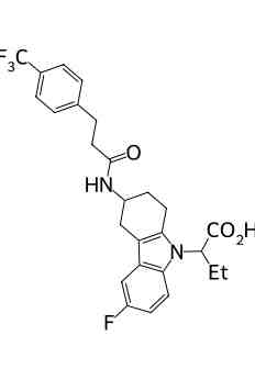 CCC(C(=O)O)n1c2c(c3cc(F)ccc31)CC(NC(=O)CCc1ccc(C(F)(F)F)cc1)CC2